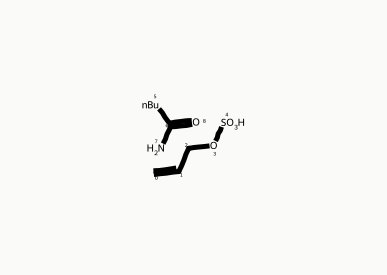 C=CCOS(=O)(=O)O.CCCCC(N)=O